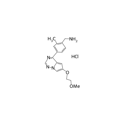 COCCOc1cc2c(-c3ccc(CN)c(C)c3)ncnn2c1.Cl